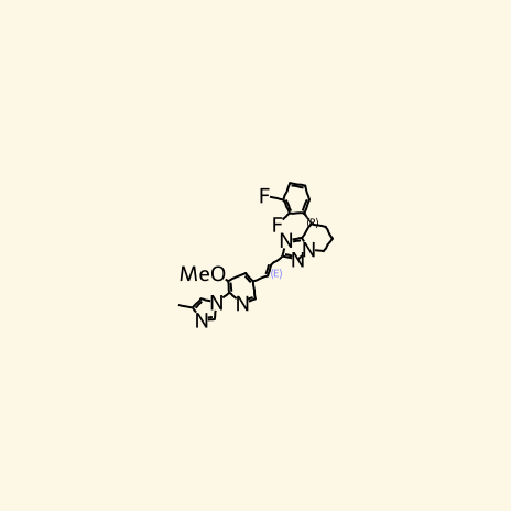 COc1cc(/C=C/c2nc3n(n2)CCC[C@@H]3c2cccc(F)c2F)cnc1-n1cnc(C)c1